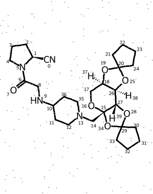 N#C[C@@H]1CCCN1C(=O)CNC1CCN(C[C@@]23OC[C@H]4OC5(CCCC5)O[C@H]4[C@@H]2OC2(CCCC2)O3)CC1